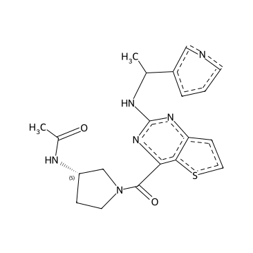 CC(=O)N[C@H]1CCN(C(=O)c2nc(NC(C)c3cccnc3)nc3ccsc23)C1